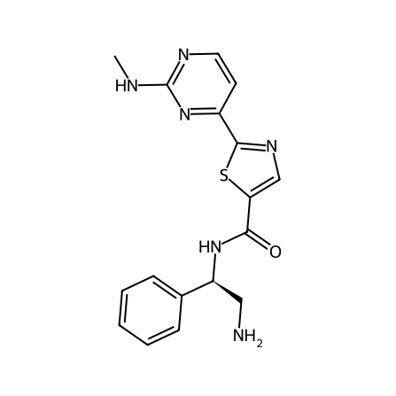 CNc1nccc(-c2ncc(C(=O)N[C@@H](CN)c3ccccc3)s2)n1